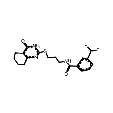 O=C(NCCCSc1nc2c(c(=O)[nH]1)CCCC2)c1cccc(C(F)F)c1